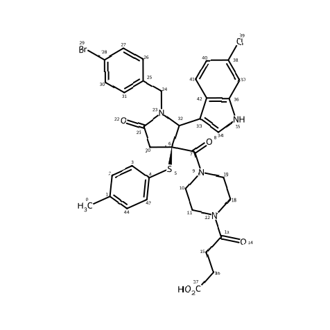 Cc1ccc(S[C@@]2(C(=O)N3CCN(C(=O)CCC(=O)O)CC3)CC(=O)N(Cc3ccc(Br)cc3)C2c2c[nH]c3cc(Cl)ccc23)cc1